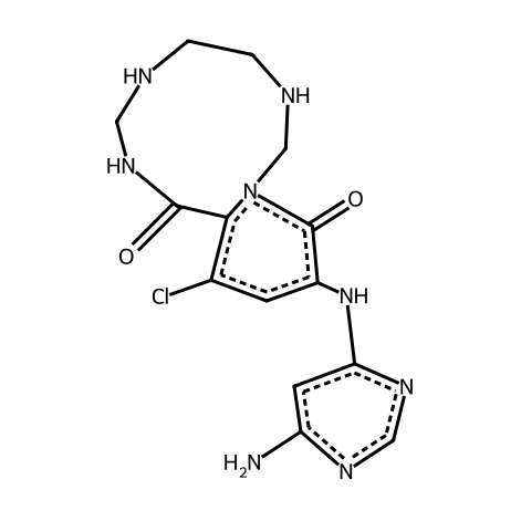 Nc1cc(Nc2cc(Cl)c3n(c2=O)CNCCNCNC3=O)ncn1